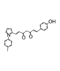 Cc1ccc(-n2cccc2C=CC(=O)CC(=O)C=Cc2ccc(O)cc2)cc1